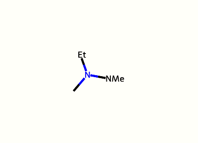 [CH2]NN(C)CC